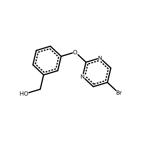 OCc1cccc(Oc2ncc(Br)cn2)c1